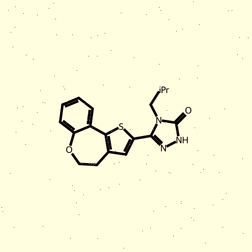 CC(C)Cn1c(-c2cc3c(s2)-c2ccccc2OCC3)n[nH]c1=O